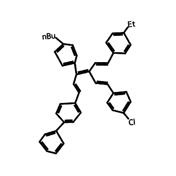 CCCCc1ccc(C(C=Cc2ccc(-c3ccccc3)cc2)=C(C=Cc2ccc(Cl)cc2)C=Cc2ccc(CC)cc2)cc1